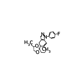 CCC1COC2(CCCC3=Cc4c(cnn4-c4ccc(F)cc4)C[C@@]32C)O1